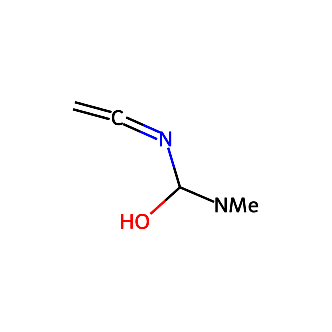 C=C=NC(O)NC